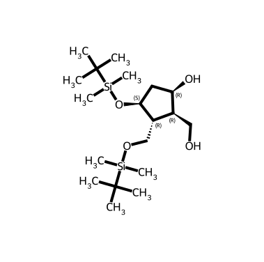 CC(C)(C)[Si](C)(C)OC[C@H]1[C@H](CO)[C@H](O)C[C@@H]1O[Si](C)(C)C(C)(C)C